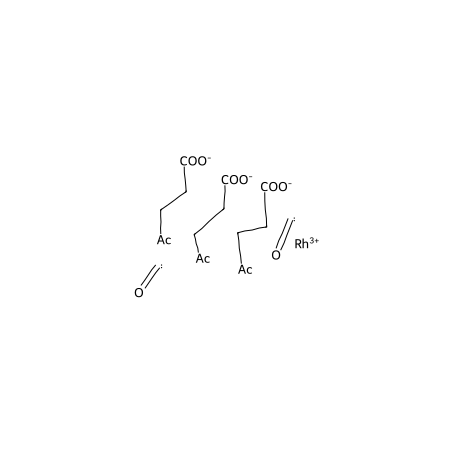 CC(=O)CCC(=O)[O-].CC(=O)CCC(=O)[O-].CC(=O)CCC(=O)[O-].[C]=O.[C]=O.[Rh+3]